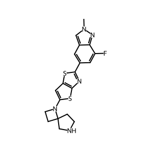 Cn1cc2cc(-c3nc4sc(N5CCC56CCNC6)cc4s3)cc(F)c2n1